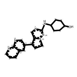 OC1CCC(Nc2ncc3c(-c4cnc5ncccc5c4)ccn3n2)CC1